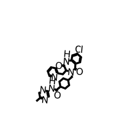 Cc1cnc(NC(=O)C2CCC(CN3C(=O)c4ccc(Cl)cc4NC(=O)C3Cc3ccccn3)CC2)cn1